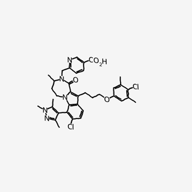 Cc1cc(OCCCc2c3n(c4c(-c5c(C)nn(C)c5C)c(Cl)ccc24)CCC(C)N(Cc2ccc(C(=O)O)cn2)C3=O)cc(C)c1Cl